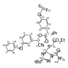 CC(C)[C@H](C(=O)OC(C#N)c1cccc(Oc2ccccc2)c1)c1ccc(OC(F)F)cc1.CCOC(=O)CSc1nc(C(C)(C)C)nn1C(=O)N(C)C